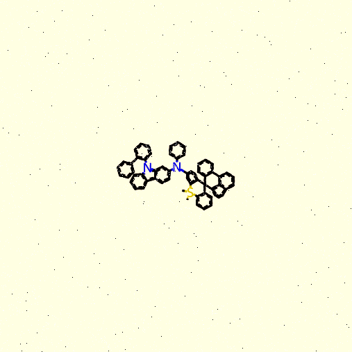 CS1(C)c2ccccc2C2(c3ccccc3-c3cccc4cccc2c34)c2ccc(N(c3ccccc3)c3ccc4c5ccccc5n(-c5ccccc5-c5ccccc5)c4c3)cc21